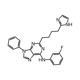 Fc1cccc(Nc2nc(CCCCc3ncc[nH]3)nc3c2ncn3-c2ccccc2)c1